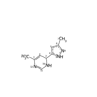 CC1=CC(c2cc(C)n[nH]2)NC=N1